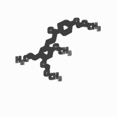 C=CCc1cc(/C=C/C(=O)c2ccc(OCOC)cc2)c(OC)cc1OCOC